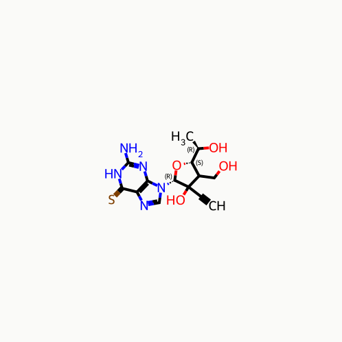 C#CC1(O)C(CO)[C@@H]([C@@H](C)O)O[C@H]1n1cnc2c(=S)[nH]c(N)nc21